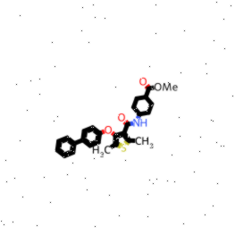 COC(=O)C1CCC(NC(=O)c2c(C)sc(C)c2Oc2ccc(-c3ccccc3)cc2)CC1